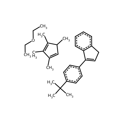 CC(C)(C)c1ccc(C2=CCc3ccccc32)cc1.CC1=CC(C)C(C)=C1C.CCOCC